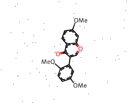 COc1ccc(OC)c(-c2coc3cc(OC)ccc3c2=O)c1